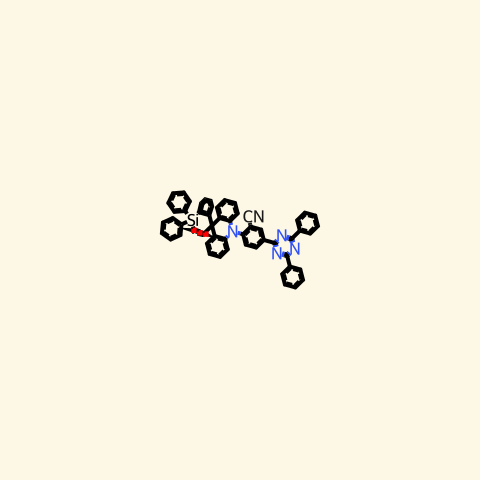 N#Cc1cc(-c2nc(-c3ccccc3)nc(-c3ccccc3)n2)ccc1N1c2ccccc2C2(c3ccccc31)c1ccccc1[Si](c1ccccc1)(c1ccccc1)c1ccccc12